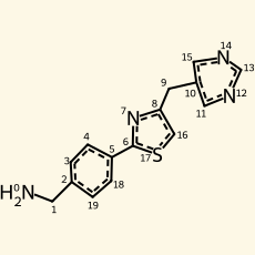 NCc1ccc(-c2nc(Cc3cncnc3)cs2)cc1